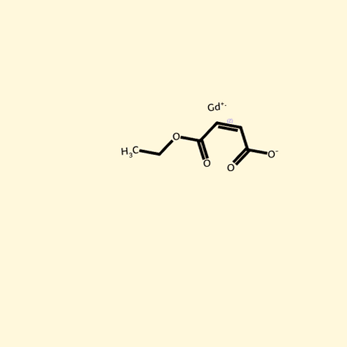 CCOC(=O)/C=C\C(=O)[O-].[Gd+]